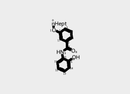 CCCCCCCOc1cccc(C(=O)Nc2ccccc2O)c1